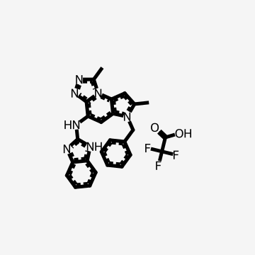 Cc1cc2c(cc(Nc3nc4ccccc4[nH]3)c3nnc(C)n32)n1Cc1ccccc1.O=C(O)C(F)(F)F